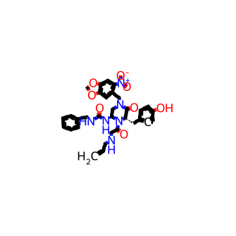 C=CCNCC(=O)N1[C@@H](NC(=O)NCc2ccccc2)CN(Cc2cc3c(cc2[N+](=O)[O-])OCO3)C(=O)[C@@H]1Cc1ccc(O)cc1